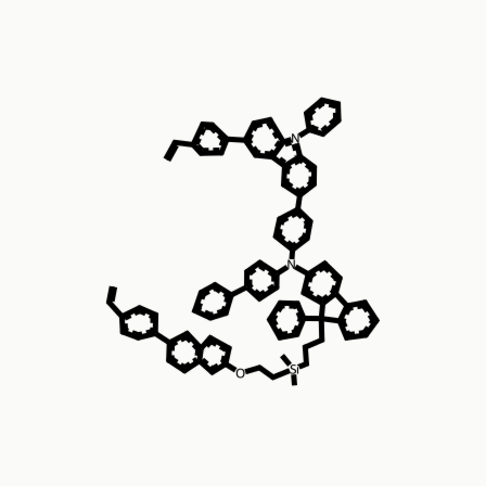 C=Cc1ccc(-c2ccc3cc(OCC[Si](C)(C)CCCC4(c5ccccc5)c5ccccc5-c5ccc(N(c6ccc(-c7ccccc7)cc6)c6ccc(-c7ccc8c(c7)c7cc(-c9ccc(C=C)cc9)ccc7n8-c7ccccc7)cc6)cc54)ccc3c2)cc1